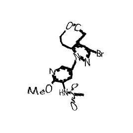 COc1ncc(-n2nc(Br)c3c2CCOCC3)cc1NS(C)(=O)=O